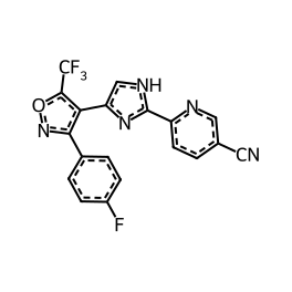 N#Cc1ccc(-c2nc(-c3c(-c4ccc(F)cc4)noc3C(F)(F)F)c[nH]2)nc1